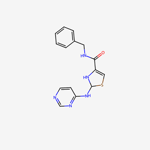 O=C(NCc1ccccc1)C1=CSC(Nc2ccncn2)N1